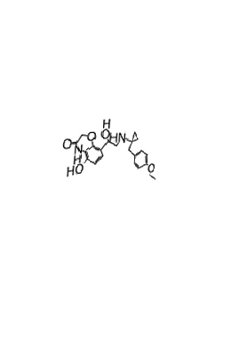 CCOc1ccc(CC2(NCC(O)c3ccc(O)c4c3OCC(=O)N4)CC2)cc1